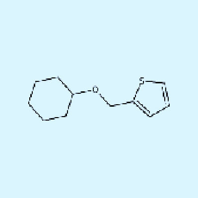 c1csc(COC2CCCCC2)c1